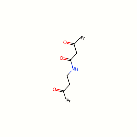 CC(C)C(=O)CCNC(=O)CC(=O)C(C)C